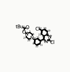 CC(C)(C)C(=O)ON1CCN(c2cccc(-c3nc(Cl)nc4ccc(Cl)cc34)c2)CC1